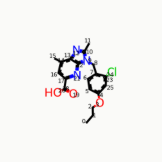 CCCOc1ccc(Cn2c(C)nc3c(C)cc(C(=O)O)nc32)c(Cl)c1